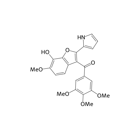 COc1cc(C(=O)c2c(-c3ccc[nH]3)oc3c(O)c(OC)ccc23)cc(OC)c1OC